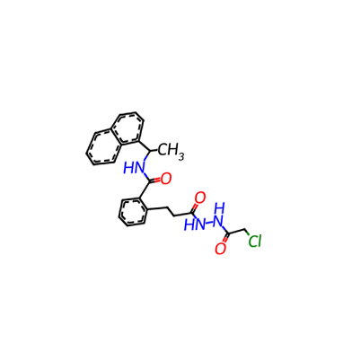 CC(NC(=O)c1ccccc1CCC(=O)NNC(=O)CCl)c1cccc2ccccc12